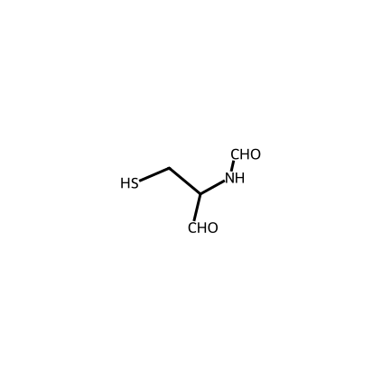 O=CNC(C=O)CS